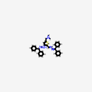 CN(C)Cc1cc(NN=C(c2ccccc2)c2ccccc2)c(/C=N/N=C(c2ccccc2)c2ccccc2)s1